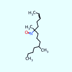 C/C=C\CCC(C)(CCCC(C)CCCC)N=O